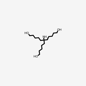 NC(CCCCCO)(CCCCCO)CCCCCO